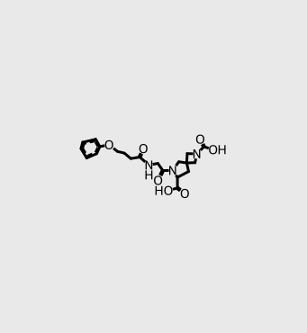 O=C(CCCOc1ccccc1)NCC(=O)N1CC2(CC1C(=O)O)CN(C(=O)O)C2